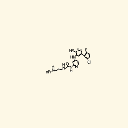 CCCNCCCNCC(=O)Nc1cc(Nc2cc(-c3cc(Cl)ccc3F)nnc2S)ccn1